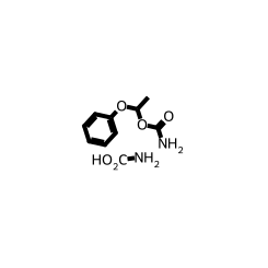 CC(OC(N)=O)Oc1ccccc1.NC(=O)O